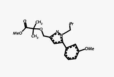 COC(=O)C(C)(C)OCc1cc(-c2cccc(OC)c2)n(CC(C)C)n1